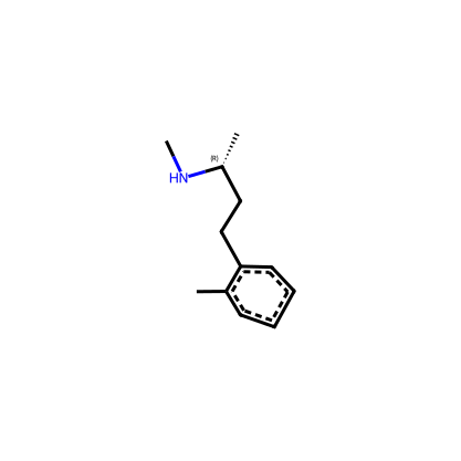 CN[C@H](C)CCc1ccccc1C